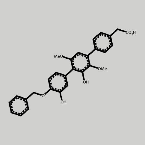 COc1cc(-c2ccc(CC(=O)O)cc2)c(OC)c(O)c1-c1ccc(OCc2ccccc2)c(O)c1